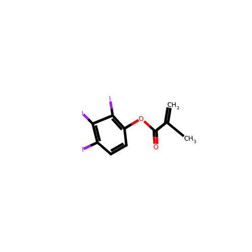 C=C(C)C(=O)Oc1ccc(I)c(I)c1I